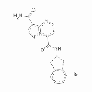 NC(=O)c1cnn2c(C(=O)NC3Cc4cccc(Br)c4C3)ccnc12